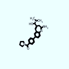 CN(C)C(O)C1=Cc2cc(-c3ccc(C(=O)N4CCCC4)cc3)ccc2N=C(N)C1